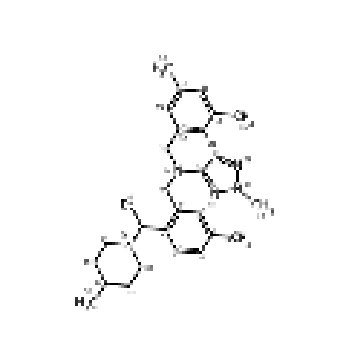 CCC(c1ccc(C(F)(F)F)cc1CN(Cc1cc(C(F)(F)F)cc(C(F)(F)F)c1)c1nnn(C)n1)N1CCC(C)CC1